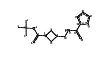 CC(C)(C)OC(=O)N1CC(CNC(=O)c2cccs2)C1